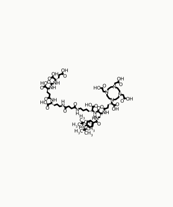 CC(C)(C)[Si](F)(c1ccc(C(=O)NC[C@@H](NC(=O)CC[C@@H](C(=O)O)N2CCN(CC(=O)O)CCN(CC(=O)O)CCN(CC(=O)O)CC2)C(=O)N[C@H](CCCCNC(=O)CCC(=O)NCCC[C@@H](NC(=O)CC[C@H](NC(=O)N[C@@H](CCC(=O)O)C(=O)O)C(=O)O)C(=O)O)C(=O)O)cc1)C(C)(C)C